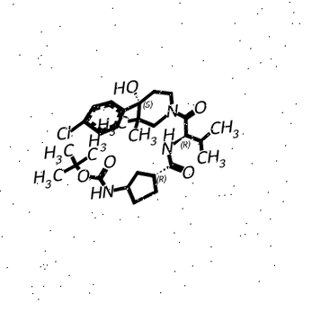 CC(C)[C@@H](NC(=O)[C@@H]1CCC(NC(=O)OC(C)(C)C)C1)C(=O)N1CC[C@](O)(c2ccc(Cl)cc2)C(C)(C)C1